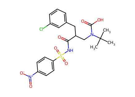 CC(C)(C)N(CC(Cc1cccc(Cl)c1)C(=O)NS(=O)(=O)c1ccc([N+](=O)[O-])cc1)C(=O)O